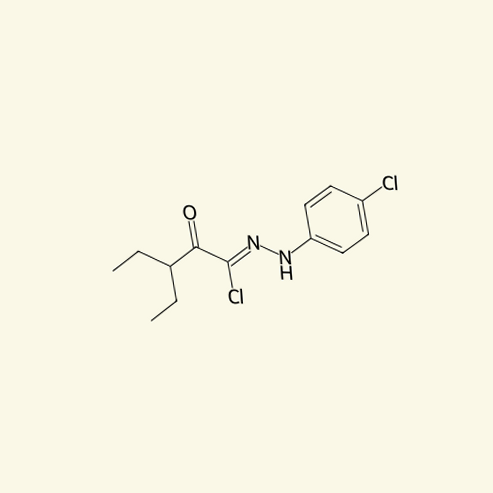 CCC(CC)C(=O)/C(Cl)=N/Nc1ccc(Cl)cc1